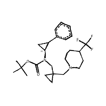 CC(C)(C)OC(=O)N(CC1(CN2CCC(C(F)(F)F)CC2)CC1)[C@H]1CC1c1ccccc1